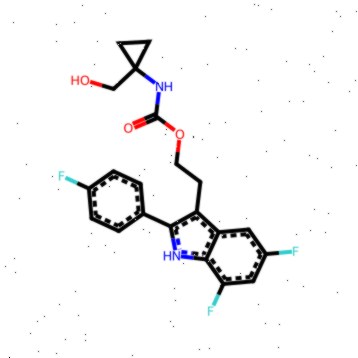 O=C(NC1(CO)CC1)OCCc1c(-c2ccc(F)cc2)[nH]c2c(F)cc(F)cc12